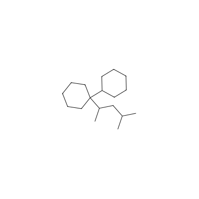 CC(C)CC(C)C1(C2CCCCC2)CCCCC1